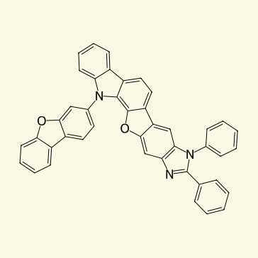 c1ccc(-c2nc3cc4oc5c(ccc6c7ccccc7n(-c7ccc8c(c7)oc7ccccc78)c65)c4cc3n2-c2ccccc2)cc1